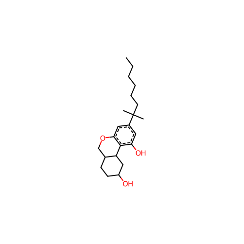 CCCCCCC(C)(C)c1cc(O)c2c(c1)OCC1CCC(O)CC21